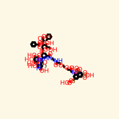 CC1OC(OC2C(NC(=O)c3cc(O)nc(O)n3)CC(C(=O)NCCNC(=O)COCCOCC(=O)CNc3cc(SOOO)cc4cc(S(=O)(=O)O)cc(S(=O)(=O)O)c34)CC2OC2OC(CO)C(O)C(O[C@@H](CC3CCCCC3)C(=O)O)C2OC(=O)c2ccccc2)C(O)C(O)C1O